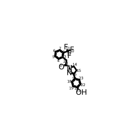 O=C(Cc1ccccc1C(F)(F)F)N1CCC(c2ccc(O)cc2)=N1